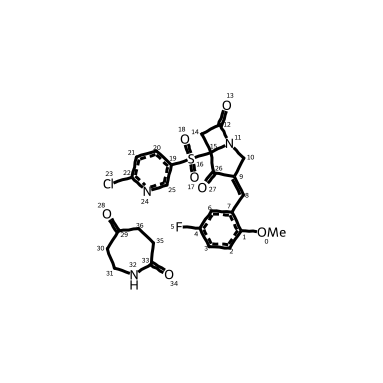 COc1ccc(F)cc1C=C1CN2C(=O)CC2(S(=O)(=O)c2ccc(Cl)nc2)C1=O.O=C1CCNC(=O)CC1